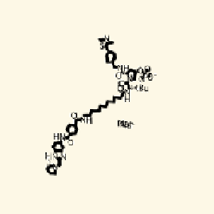 Cc1ncsc1-c1ccc(CNC(=O)[C@@H]2C[C@@H](OP(=O)([O-])[O-])CN2C(=O)[C@@H](NC(=O)CCCCCCCCCCNC(=O)c2ccc(C(=O)Nc3ccc4[nH]c(CN5CCC[C@@H]5C)nc4c3)cc2)C(C)(C)C)cc1.[Na+].[Na+]